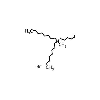 CCCCCCCC[N+](C)(CCCCI)CCCCCCCC.[Br-]